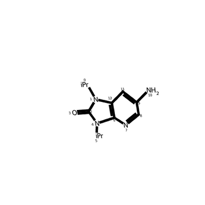 CC(C)n1c(=O)n(C(C)C)c2ncc(N)cc21